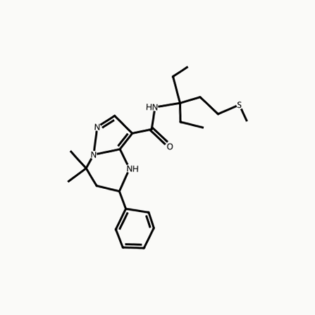 CCC(CC)(CCSC)NC(=O)c1cnn2c1NC(c1ccccc1)CC2(C)C